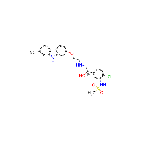 CS(=O)(=O)Nc1cc([C@@H](O)CNCCOc2ccc3c(c2)[nH]c2cc(C#N)ccc23)ccc1Cl